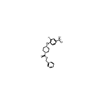 O=C(OCc1ccccc1)N1CCC(Oc2ccc([N+](=O)[O-])cc2F)CC1